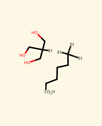 CCC(CC)(CC)CCCCC(=O)O.CCC(CO)(CO)CO